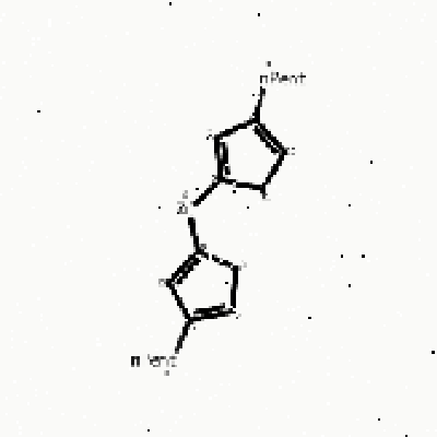 CCCCCC1=CC[C]([Zr][C]2=CC(CCCCC)=CC2)=C1